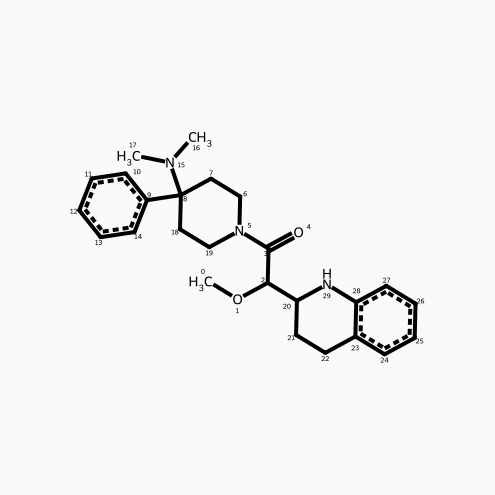 COC(C(=O)N1CCC(c2ccccc2)(N(C)C)CC1)C1CCc2ccccc2N1